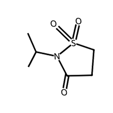 CC(C)N1C(=O)CCS1(=O)=O